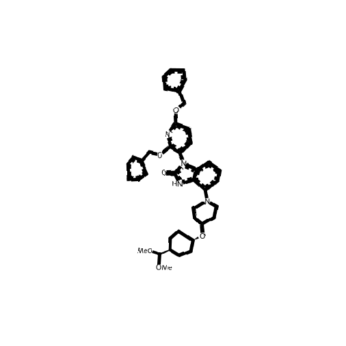 COC(OC)[C@H]1CC[C@H](OC2CCN(c3cccc4c3[nH]c(=O)n4-c3ccc(OCc4ccccc4)nc3OCc3ccccc3)CC2)CC1